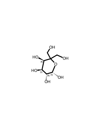 OCC1(CO)O[C@H](O)[C@H](O)[C@@H](O)[C@H]1O